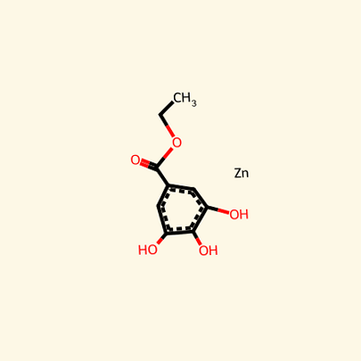 CCOC(=O)c1cc(O)c(O)c(O)c1.[Zn]